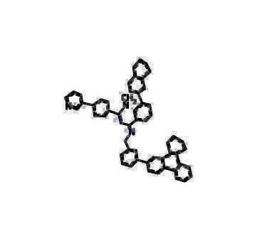 C=N/C(=C\C(=N/Cc1cccc(-c2ccc3c4ccccc4c4ccccc4c3c2)c1)c1cccc(-c2ccc3ccccc3c2)c1)c1ccc(-c2cccnc2)cc1